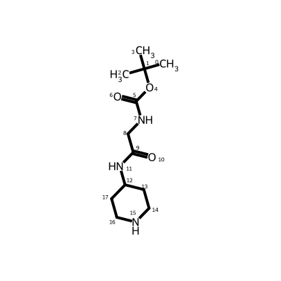 CC(C)(C)OC(=O)NCC(=O)NC1CCNCC1